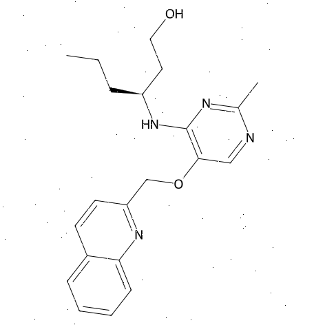 CCC[C@@H](CCO)Nc1nc(C)ncc1OCc1ccc2ccccc2n1